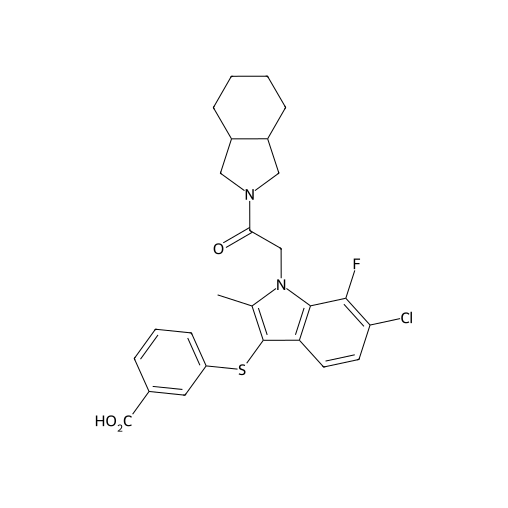 Cc1c(Sc2cccc(C(=O)O)c2)c2ccc(Cl)c(F)c2n1CC(=O)N1CC2CCCCC2C1